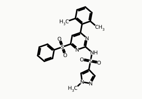 Cc1cccc(C)c1-c1cc(S(=O)(=O)c2ccccc2)nc(NS(=O)(=O)c2cnn(C)c2)n1